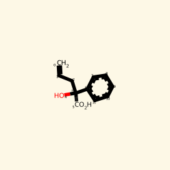 C=CCC(O)(C(=O)O)c1ccccc1